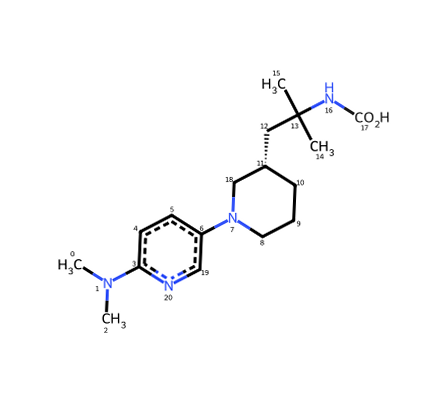 CN(C)c1ccc(N2CCC[C@@H](CC(C)(C)NC(=O)O)C2)cn1